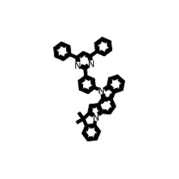 CC1(C)c2ccccc2-n2c1cc1c2ccc2c3ccccc3n(-c3cccc(-c4nc(-c5ccccc5)cc(-c5ccccc5)n4)c3)c21